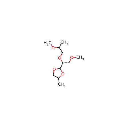 COCC(OCC(C)OC)C1OCC(C)O1